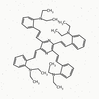 CCN(CC)c1ccccc1/C=C/c1nc(/C=C/c2ccccc2N(CC)CC)c(/C=C/c2ccccc2N(CC)CC)nc1/C=C/c1ccccc1N(CC)CC